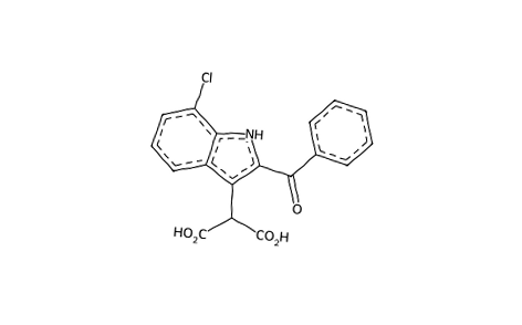 O=C(c1ccccc1)c1[nH]c2c(Cl)cccc2c1C(C(=O)O)C(=O)O